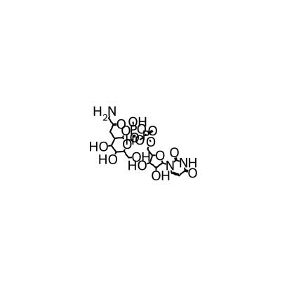 NCC(=O)CC1C(OP(=O)(O)OP(=O)(O)OCC2OC(n3ccc(=O)[nH]c3=O)C(O)C2O)OC(CO)C(O)C1O